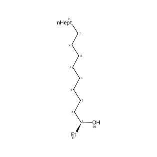 CCCCCCCCCCCCCCC[C@@H](O)CC